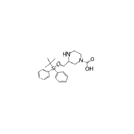 CC(C)(C)[Si](OCC1CN(C(=O)O)CCN1)(c1ccccc1)c1ccccc1